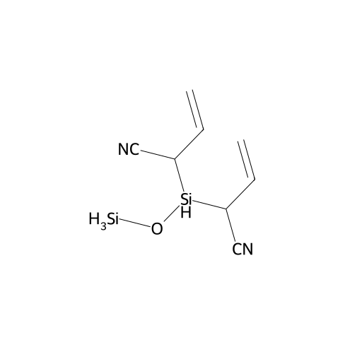 C=CC(C#N)[SiH](O[SiH3])C(C#N)C=C